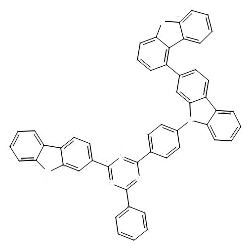 c1ccc(-c2nc(-c3ccc(-n4c5ccccc5c5ccc(-c6cccc7sc8ccccc8c67)cc54)cc3)nc(-c3ccc4c(c3)oc3ccccc34)n2)cc1